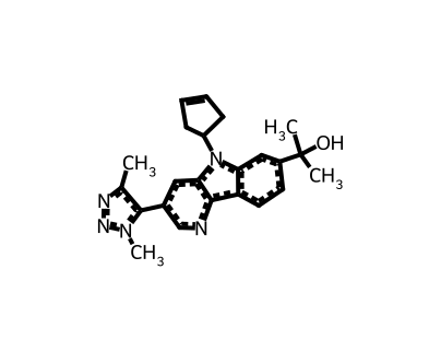 Cc1nnn(C)c1-c1cnc2c3ccc(C(C)(C)O)cc3n(C3CC=CC3)c2c1